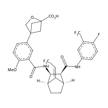 COc1ccc(C23COC(C(=O)O)(C2)C3)cc1C(=O)N[C@H]1[C@@H](C(=O)Nc2ccc(F)c(C(F)(F)F)c2)[C@H]2CC[C@@H]1/C2=C\C(F)(F)F